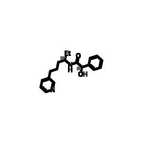 CC[C@H](CCCc1cccnc1)NC(=O)[C@H](O)c1ccccc1